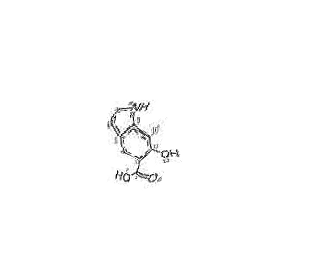 O=C(O)c1cc2cc[nH]c2cc1O